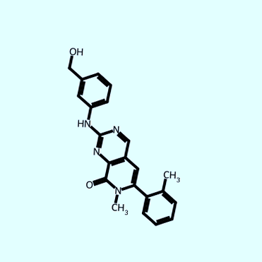 Cc1ccccc1-c1cc2cnc(Nc3cccc(CO)c3)nc2c(=O)n1C